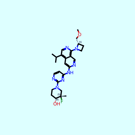 COC[C@@H]1CCN1c1ncc(C(C)C)c2cc(Nc3ccnc(N4CC[C@@H](O)[C@@](C)(F)C4)n3)ncc12